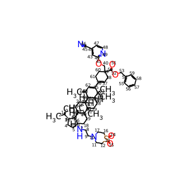 C=C(C)[C@@H]1CC[C@]2(NCCN3CCS(=O)(=O)CC3)CC[C@]3(C)[C@H](CC[C@@H]4[C@@H]5[C@@H](CC[C@]43C)C(C)(C)C(C3=CCC(COc4cc(C#N)ccn4)(C(=O)OCc4ccccc4)CC3)=C[C@@H]5C)[C@@H]12